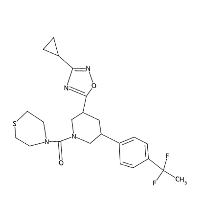 CC(F)(F)c1ccc(C2CC(c3nc(C4CC4)no3)CN(C(=O)N3CCSCC3)C2)cc1